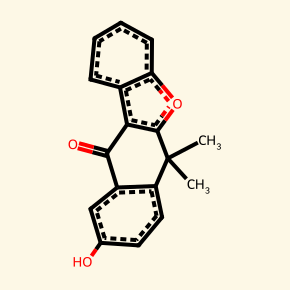 CC1(C)c2ccc(O)cc2C(=O)c2c1oc1ccccc21